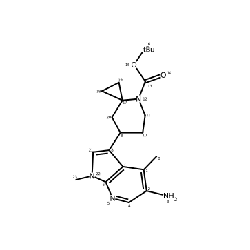 Cc1c(N)cnc2c1c(C1CCN(C(=O)OC(C)(C)C)C3(CC3)C1)cn2C